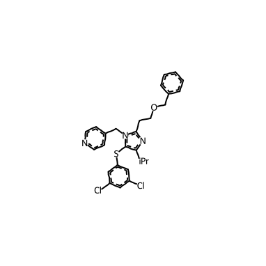 CC(C)c1nc(CCOCc2ccccc2)n(Cc2ccncc2)c1Sc1cc(Cl)cc(Cl)c1